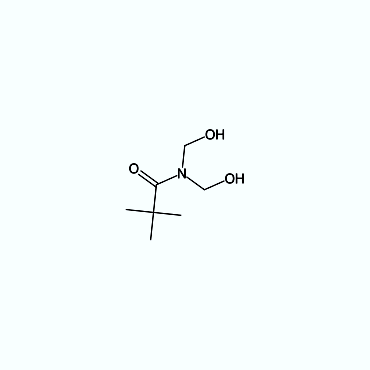 CC(C)(C)C(=O)N(CO)CO